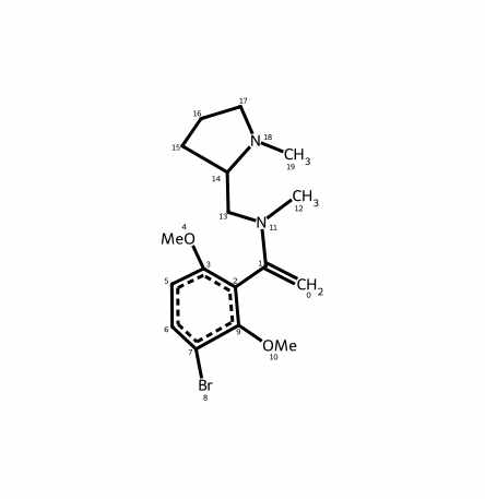 C=C(c1c(OC)ccc(Br)c1OC)N(C)CC1CCCN1C